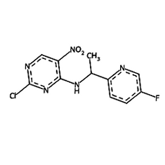 CC(Nc1nc(Cl)ncc1[N+](=O)[O-])c1ccc(F)cn1